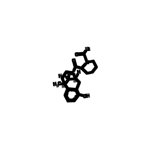 CCC(=O)N1CCCCC1C(=O)N1CC[C@@]2(C)c3cccc(O)c3C[C@@H]1C2(C)C